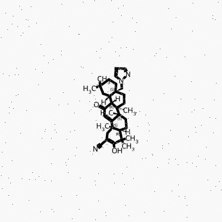 CC1(C)CC[C@]2(Cn3cccn3)CC[C@]3(C)[C@H](C(=O)C=C4[C@@]5(C)CC(C#N)=C(O)C(C)(C)[C@@H]5CC[C@]43C)[C@@H]2C1